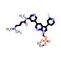 CCOP(=O)(OCC)OCn1cc(-c2ccnc(F)c2)c2cc(-c3cncc(N(C)C(=O)C=CCN(C)C)c3)cnc21